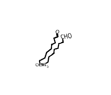 CCCCCCCCC=O.O=CCCCCCCCC=O